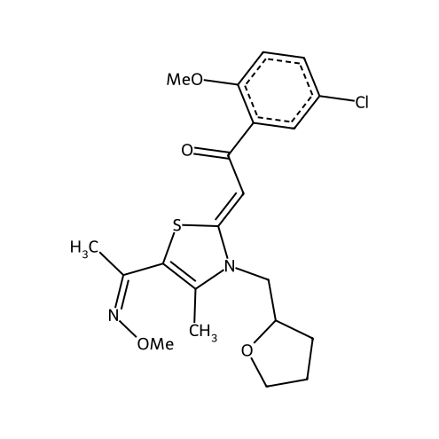 CO/N=C(/C)C1=C(C)N(CC2CCCO2)/C(=C/C(=O)c2cc(Cl)ccc2OC)S1